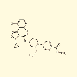 CC[C@@H]1C[C@H](OC(=O)c2c(-c3c(Cl)cccc3Cl)noc2C2CC2)CCN1c1cnc(C(=O)OC)nc1